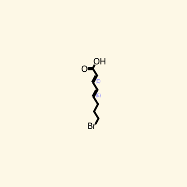 O=C(O)/C=C/C=C/CCCBr